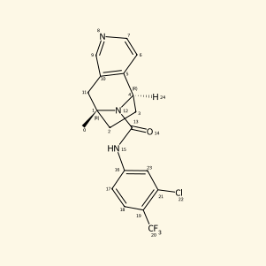 C[C@@]12CC[C@H](c3ccncc3C1)N2C(=O)Nc1ccc(C(F)(F)F)c(Cl)c1